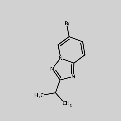 CC(C)c1nc2ccc(Br)cn2n1